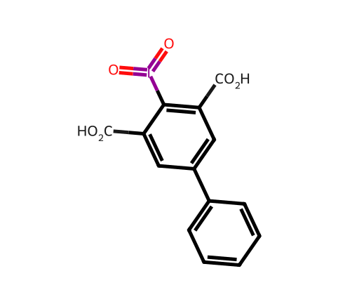 O=C(O)c1cc(-c2ccccc2)cc(C(=O)O)c1I(=O)=O